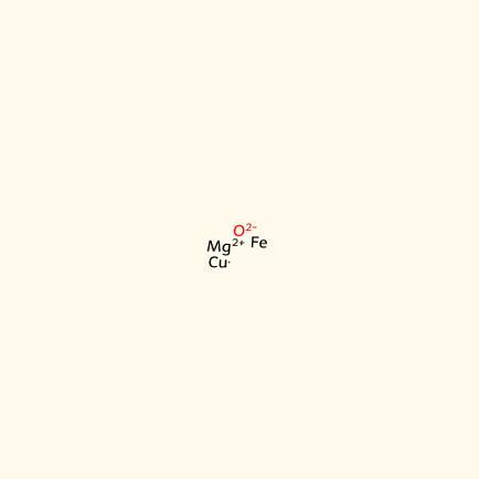 [Cu].[Fe].[Mg+2].[O-2]